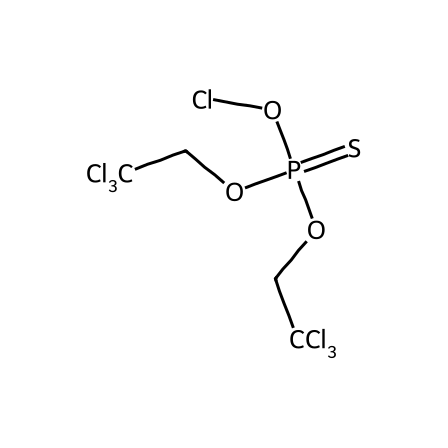 S=P(OCl)(OCC(Cl)(Cl)Cl)OCC(Cl)(Cl)Cl